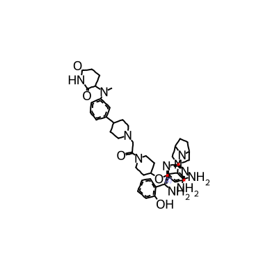 CN(c1cccc(C2CCN(CC(=O)N3CCC(Oc4ccnc(N5C6CCC5CN(C(/C=C(\N)c5ccccc5O)=C(N)N)C6)n4)CC3)CC2)c1)C1CCC(=O)NC1=O